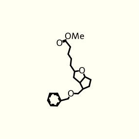 COC(=O)CCCCC1CC2C(COCc3ccccc3)CCC2O1